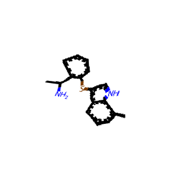 Cc1cccc2c(Sc3ccccc3C(C)N)c[nH]c12